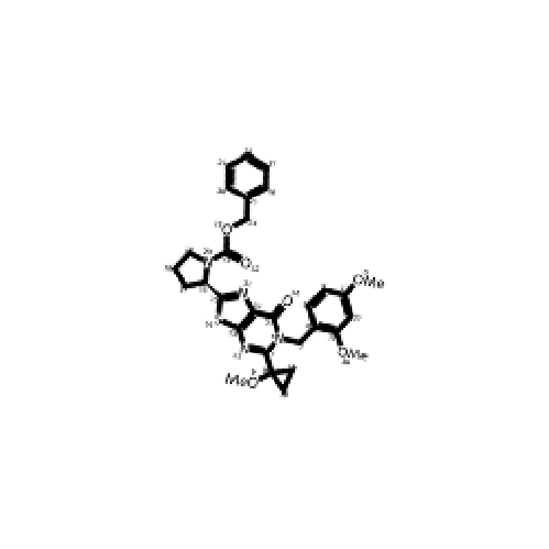 COc1ccc(Cn2c(C3(OC)CC3)nc3sc([C@H]4CCCN4C(=O)OCc4ccccc4)nc3c2=O)c(OC)c1